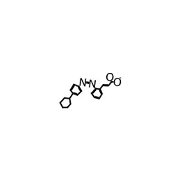 COC(=O)/C=C/c1ccccc1N=C=Nc1ccc(C2CCCCC2)cc1